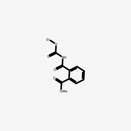 CCOC(=S)NC(=O)c1ccccc1C(=O)OC